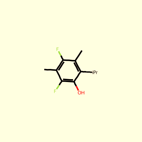 Cc1c(F)c(C)c(C(C)C)c(O)c1F